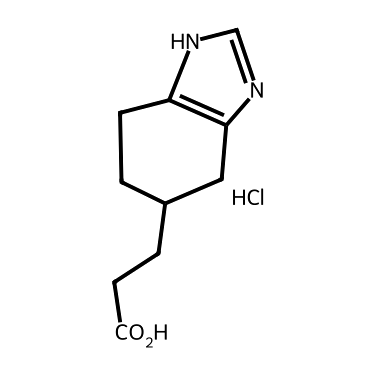 Cl.O=C(O)CCC1CCc2[nH]cnc2C1